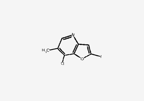 Cc1cnc2cc(I)oc2c1Cl